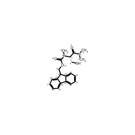 CN(C)C(=O)[C@H](CS)N(C)C(=O)OCC1c2ccccc2-c2ccccc21